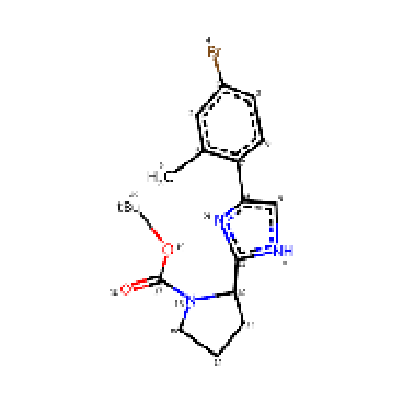 Cc1cc(Br)ccc1-c1c[nH]c(C2CCCN2C(=O)OC(C)(C)C)n1